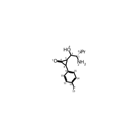 CC(C)[C@H](N)C(O)C1C(=O)C1c1ccc(F)cc1